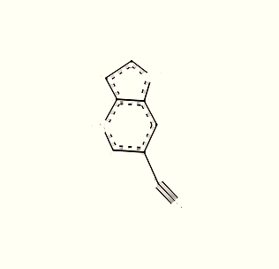 N#Cc1cnc2ccsc2c1